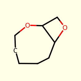 C1CCOC2COC2CC1